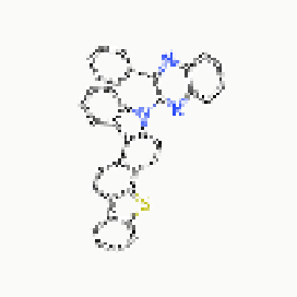 c1ccc(-c2nc3ccccc3nc2-n2c3ccccc3c3c4ccc5c6ccccc6sc5c4ccc32)cc1